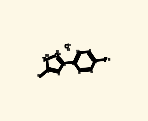 Cc1cc(-c2ccc(F)cc2)[o+][te]1.[Cl-]